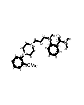 COc1ccccc1N1CCN(CCCN(C)c2ccccc2C(=O)N(C)C)CC1